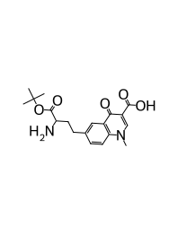 Cn1cc(C(=O)O)c(=O)c2cc(CCC(N)C(=O)OC(C)(C)C)ccc21